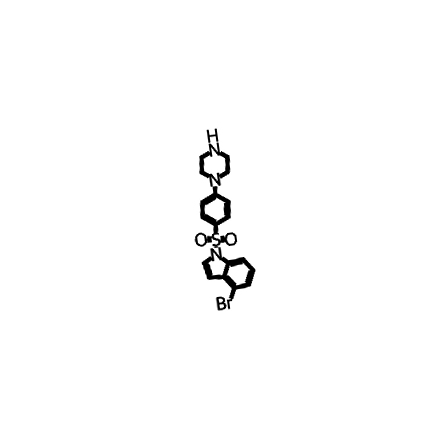 O=S(=O)(c1ccc(N2CCNCC2)cc1)n1ccc2c(Br)cccc21